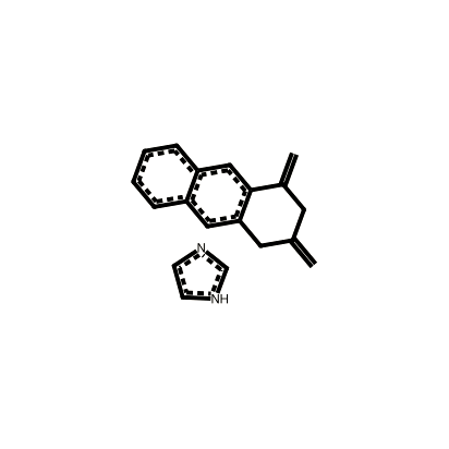 C=C1CC(=C)c2cc3ccccc3cc2C1.c1c[nH]cn1